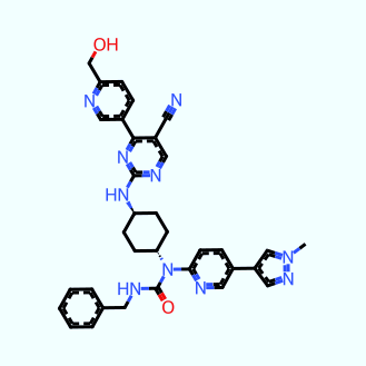 Cn1cc(-c2ccc(N(C(=O)NCc3ccccc3)[C@H]3CC[C@H](Nc4ncc(C#N)c(-c5ccc(CO)nc5)n4)CC3)nc2)cn1